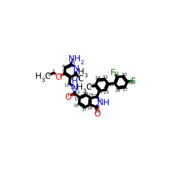 CCOc1cc(N)nc(C)c1CNC(=O)c1ccc2c(c1)C(c1cc(-c3ccc(F)cc3F)ccc1C)NC2=O